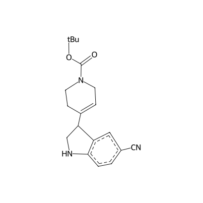 CC(C)(C)OC(=O)N1CC=C(C2CNc3ccc(C#N)cc32)CC1